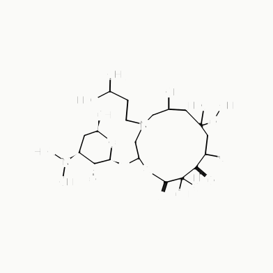 COC1(C)CC(C)CN(CCC(C)C)CC(O[C@@H]2O[C@H](C)C[C@H](N(C)C)[C@H]2O)OC(=O)C(C)(C)C(=O)C(C)C1